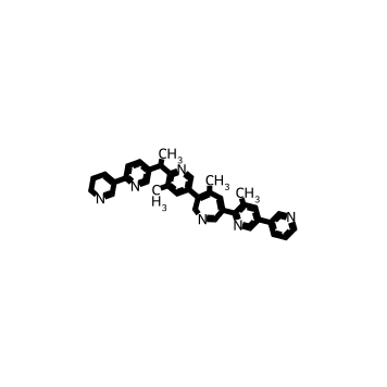 CC1=C(c2cnc(C(C)c3ccc(C4=CCCN=C4)nc3)c(C)c2)CN=CC(c2ncc(-c3cccnc3)cc2C)=C1